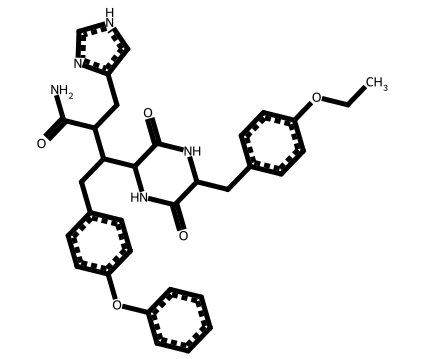 CCOc1ccc(CC2NC(=O)C(C(Cc3ccc(Oc4ccccc4)cc3)C(Cc3c[nH]cn3)C(N)=O)NC2=O)cc1